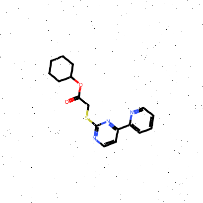 O=C(CSc1nccc(-c2ccccn2)n1)OC1CCCCC1